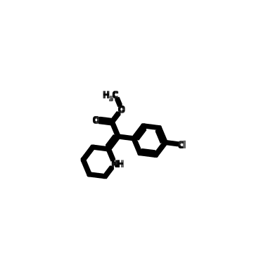 COC(=O)C(=C1CCCCN1)c1ccc(Cl)cc1